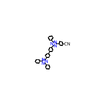 N#Cc1ccc(-c2nc(-c3ccccc3)nc(-c3ccc(-c4ccc(-c5nc(-c6ccccc6)nc(-c6ccccc6)n5)cc4)cc3)n2)cc1